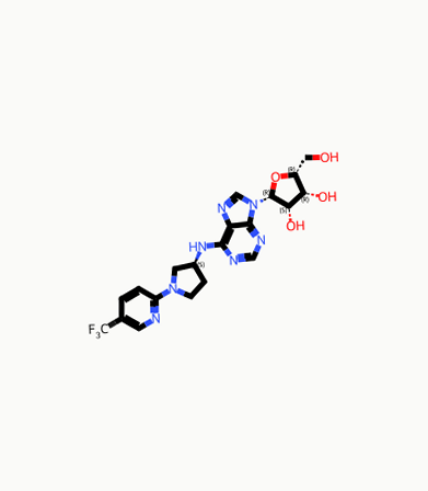 OC[C@H]1O[C@@H](n2cnc3c(N[C@H]4CCN(c5ccc(C(F)(F)F)cn5)C4)ncnc32)[C@@H](O)[C@H]1O